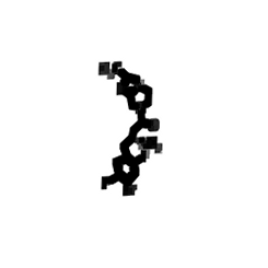 Cc1cn2c(n1)CN(C(=O)C[C@H](N)Cc1cc(F)c(Br)cc1F)CC2